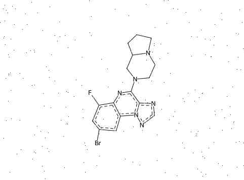 Fc1cc(Br)cc2c1nc(N1CCN3CCCC3C1)c1ncnn12